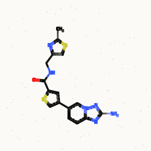 Cc1nc(CNC(=O)c2cc(-c3ccc4nc(N)nn4c3)cs2)cs1